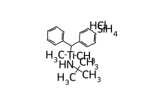 CC(C)(C)[NH][Ti]([CH3])([CH3])[CH](c1ccccc1)c1ccccc1.Cl.[SiH4]